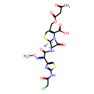 CO/N=C(\C(=O)N[C@@H]1C(=O)N2C(C(=O)O)=C(COC(=O)CC(C)=O)CS[C@H]12)c1csc(NC(=O)CCl)n1